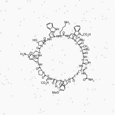 CCCC[C@H]1C(=O)N(C)[C@@H](CCCC)C(=O)N[C@@H](CC(C)C)C(=O)N[C@H](C(=O)NCC(N)=O)CSCC(=O)N[C@@H](Cc2ccc(OC)cc2)C(=O)N(C)[C@@H](C)C(=O)N[C@@H](CC(=O)O)C(=O)N2CCCC2C(=O)N[C@@H](Cc2cnc[nH]2)C(=O)N[C@@H](CCCCN)C(=O)N2C[C@H](O)C[C@@H]2C(=O)N[C@@H](Cc2c[nH]c3ccccc23)C(=O)N[C@@H](CCCCN)C(=O)N[C@@H](Cc2cn(CC(=O)O)c3ccccc23)C(=O)N1C